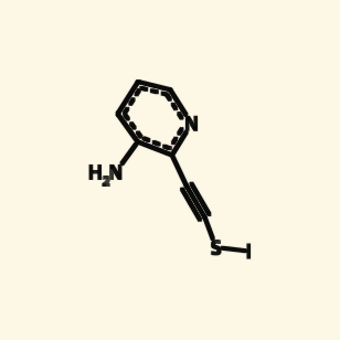 Nc1cccnc1C#CSI